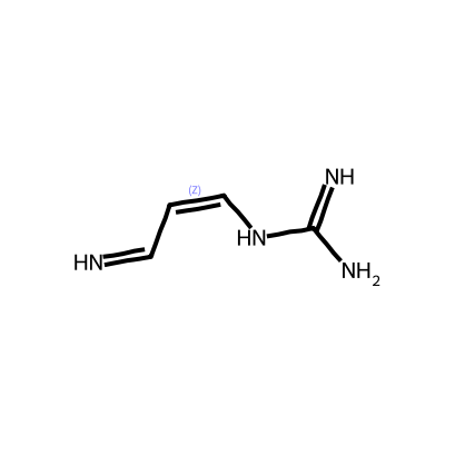 N=C/C=C\NC(=N)N